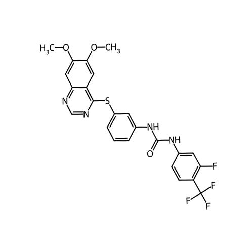 COc1cc2ncnc(Sc3cccc(NC(=O)Nc4ccc(C(F)(F)F)c(F)c4)c3)c2cc1OC